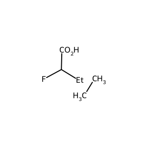 CC.CCC(F)C(=O)O